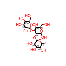 C[C@@H]1O[C@@H](O[C@H]2C(O)O[C@H](CO)[C@H](O)[C@@H]2O[C@H]2O[C@H](CO)[C@H](O)[C@H](O)[C@H]2O)[C@@H](O)[C@H](O)[C@@H]1O